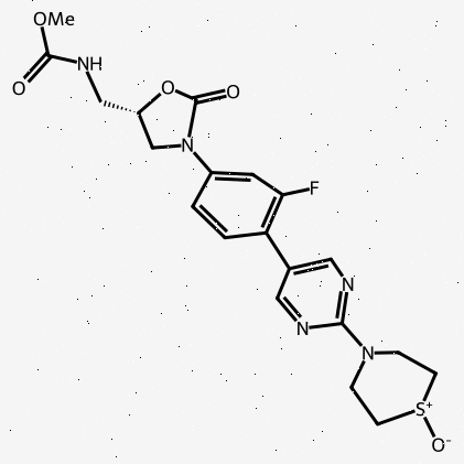 COC(=O)NC[C@H]1CN(c2ccc(-c3cnc(N4CC[S+]([O-])CC4)nc3)c(F)c2)C(=O)O1